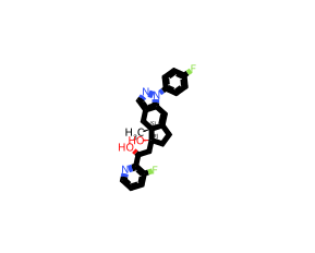 C[C@]12Cc3cnn(-c4ccc(F)cc4)c3C=C1CC[C@@]2(O)CC(O)c1ncccc1F